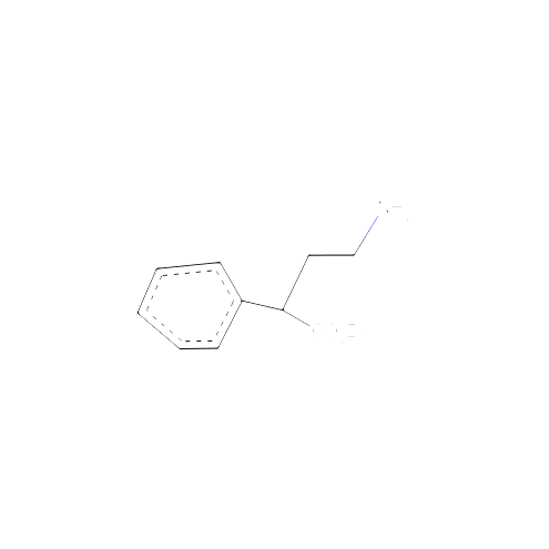 CCOC(=O)C(CCN)c1ccccc1